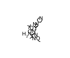 CCOc1nc(C)c(N)c(N(Cc2cnn(C3CCN(C)CC3)c2)C(=O)OC(C)(C)C)n1